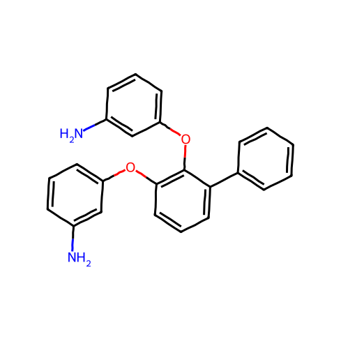 Nc1cccc(Oc2cccc(-c3ccccc3)c2Oc2cccc(N)c2)c1